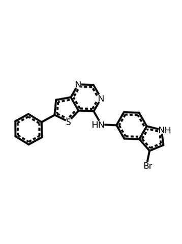 Brc1c[nH]c2ccc(Nc3ncnc4cc(-c5ccccc5)sc34)cc12